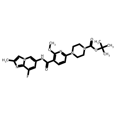 COc1nc(N2CCN(C(=O)OC(C)(C)C)CC2)ccc1C(=O)Nc1cc(F)c2nc(C)cn2c1